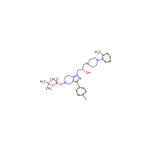 Cc1ccccc1N1CCN(CC(O)Cn2nc(-c3ccc(I)cc3)c3c2CCN(OC(=O)OC(C)(C)C)C3)CC1